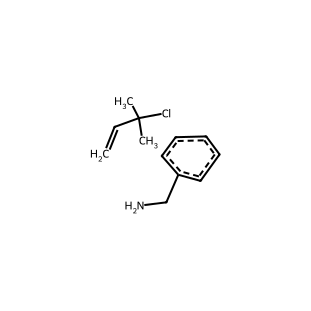 C=CC(C)(C)Cl.NCc1ccccc1